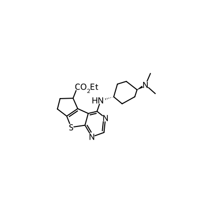 CCOC(=O)C1CCc2sc3ncnc(N[C@H]4CC[C@H](N(C)C)CC4)c3c21